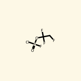 O=P(F)(Cl)OC(F)(F)CF